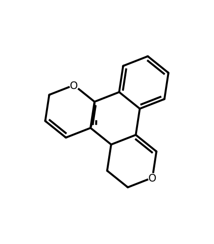 C1=CC23C=CCOC2(CC1)c1ccccc1C1=COCCC13